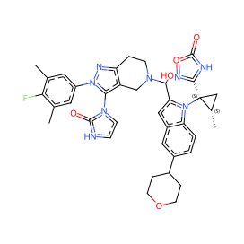 Cc1cc(-n2nc3c(c2-n2cc[nH]c2=O)CN(C(O)c2cc4cc(C5CCOCC5)ccc4n2[C@@]2(c4noc(=O)[nH]4)C[C@@H]2C)CC3)cc(C)c1F